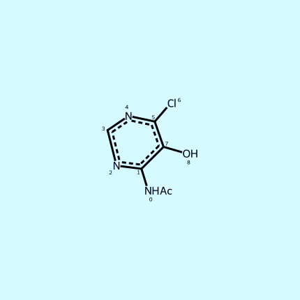 CC(=O)Nc1ncnc(Cl)c1O